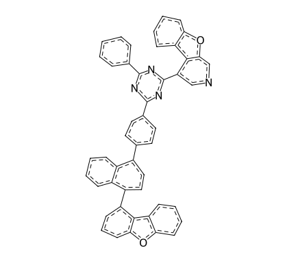 c1ccc(-c2nc(-c3ccc(-c4ccc(-c5cccc6oc7ccccc7c56)c5ccccc45)cc3)nc(-c3cncc4oc5ccccc5c34)n2)cc1